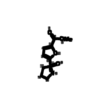 COC(=O)c1ccc(S2(=O)=NCCC2)o1